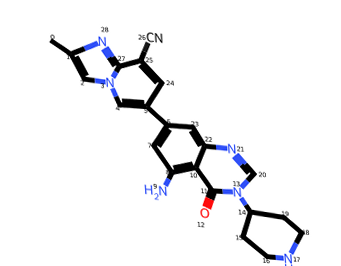 Cc1cn2cc(-c3cc(N)c4c(=O)n(C5CCNCC5)cnc4c3)cc(C#N)c2n1